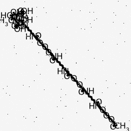 CC(=O)CCOCCOCCOCCNC(=O)CCCCCCCNC(=O)CCOCCCOCCC(=O)CNCCCCCCCC(=O)NCCOCCOCCOCCC(=O)NCCCCCCOC1OC(C(=O)O)C(OC2OC(COS(=O)(=O)O)C(O)C(O)C2C)C(O)C1O